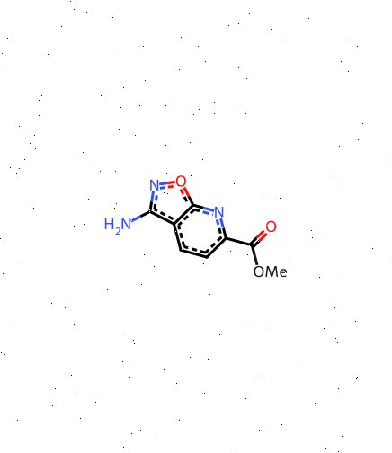 COC(=O)c1ccc2c(N)noc2n1